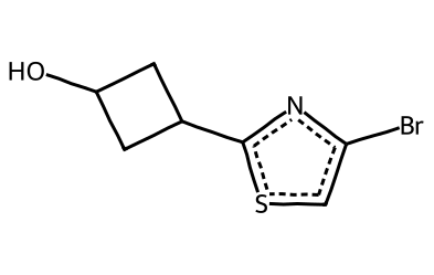 OC1CC(c2nc(Br)cs2)C1